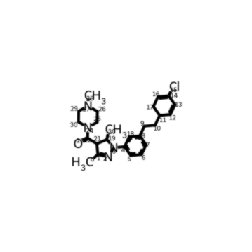 CC1=NN(c2cccc(CCC3C=CC(Cl)=CC3)c2)C(C)C1C(=O)N1CCN(C)CC1